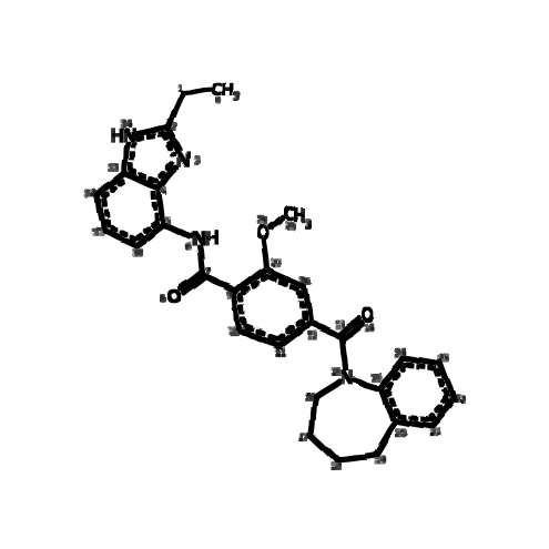 CCc1nc2c(NC(=O)c3ccc(C(=O)N4CCCCc5ccccc54)cc3OC)cccc2[nH]1